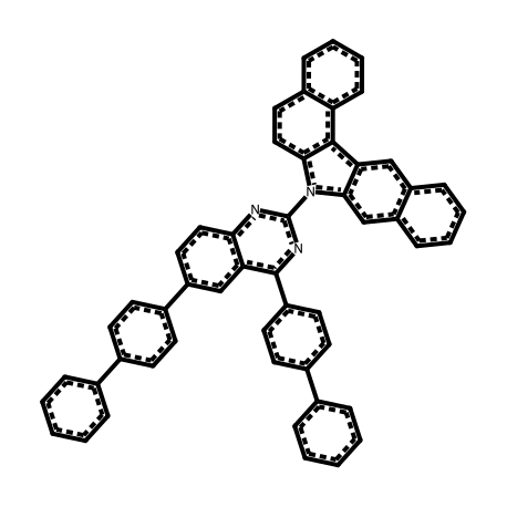 c1ccc(-c2ccc(-c3ccc4nc(-n5c6cc7ccccc7cc6c6c7ccccc7ccc65)nc(-c5ccc(-c6ccccc6)cc5)c4c3)cc2)cc1